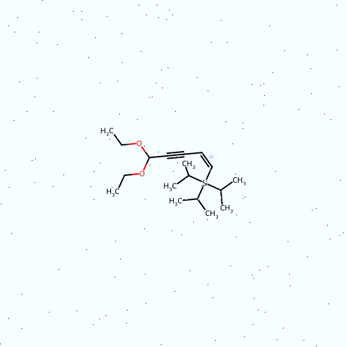 CCOC(C#C/C=C\[Si](C(C)C)(C(C)C)C(C)C)OCC